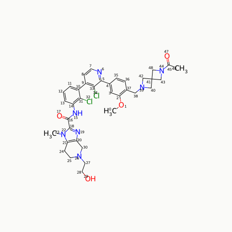 COc1cc(-c2nccc(-c3cccc(NC(=O)c4nc5c(n4C)CCN(CCO)C5)c3Cl)c2Cl)ccc1CN1CC2(C1)CN(C(C)=O)C2